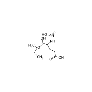 CCCC.O=C(O)CCC(N[PH](=O)O)C(=O)O